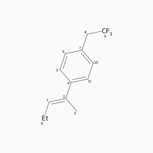 CC/C=C(\C)c1ccc(CC(F)(F)F)cc1